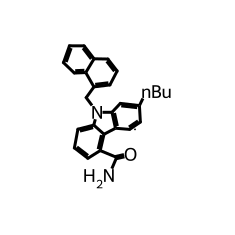 CCCCc1c[c]c2c3c(C(N)=O)cccc3n(Cc3cccc4ccccc34)c2c1